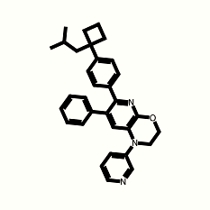 C[C](C)CC1(c2ccc(-c3nc4c(cc3-c3ccccc3)N(c3cccnc3)CCO4)cc2)CCC1